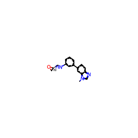 Cn1cnc2ccc(-c3cccc(NC[C@H]4CO4)c3)cc21